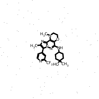 Cc1nc2c3c(c(NC4CCC(C)(O)CC4)nn2c1-c1ccnc(C(F)(F)F)c1)OCCN3C